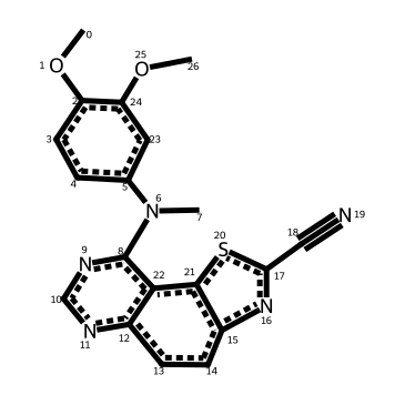 COc1ccc(N(C)c2ncnc3ccc4nc(C#N)sc4c23)cc1OC